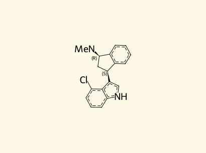 CN[C@@H]1C[C@H](c2c[nH]c3cccc(Cl)c23)c2ccccc21